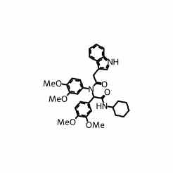 COc1ccc(C(C(=O)NC2CCCCC2)N(C(=O)Cc2c[nH]c3ccccc23)c2ccc(OC)c(OC)c2)cc1OC